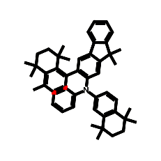 Cc1ccc(-c2cc3c(cc2N(c2ccccc2)c2ccc4c(c2)C(C)(C)CCC4(C)C)C(C)(C)c2ccccc2-3)c2c1C(C)(C)CCC2(C)C